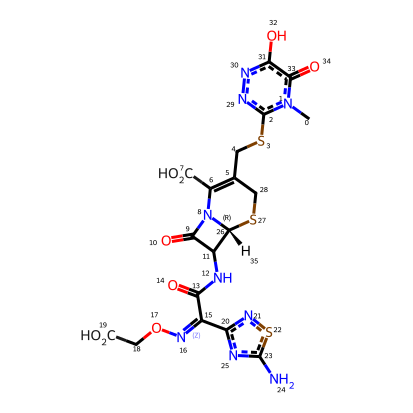 Cn1c(SCC2=C(C(=O)O)N3C(=O)C(NC(=O)/C(=N\OCC(=O)O)c4nsc(N)n4)[C@H]3SC2)nnc(O)c1=O